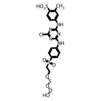 Cc1cc(Nc2nc(Cl)nc(Nc3ccc(S(=O)(=O)CCOSOOO)cc3)n2)ccc1S(=O)(=O)O